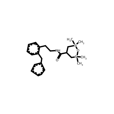 C[Si]1(C)CC(C(=O)NCCc2ccccc2Cc2ccccc2)C[Si](C)(C)O1